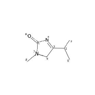 CC(C)C1=NC(=O)N(C)C1